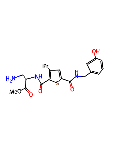 COC(=O)[C@H](CN)NC(=O)c1sc(C(=O)NCc2cccc(O)c2)cc1C(C)C